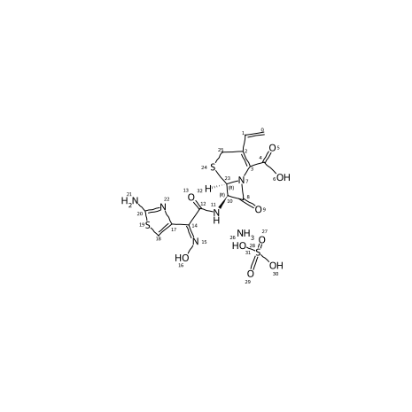 C=CC1=C(C(=O)O)N2C(=O)[C@@H](NC(=O)C(=NO)c3csc(N)n3)[C@H]2SC1.N.O=S(=O)(O)O